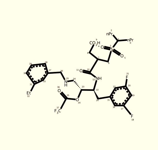 CCCC(CCC)S(=O)(=O)CC(CC(=O)O)C(=O)N[C@@H](Cc1cc(F)cc(F)c1)[C@@H](CNCc1cccc(CC)c1)OC(=O)C(F)(F)F